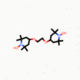 CC1(C)CC(OCCOC2CC(C)(C)N(O)C(C)(C)C2)CC(C)(C)N1O